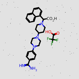 N=C(N)c1ccc(N2CCN(C3CCN(C(C(=O)O)c4cccc5ccccc45)CC3)CC2)cc1.O=C(O)C(F)(F)F